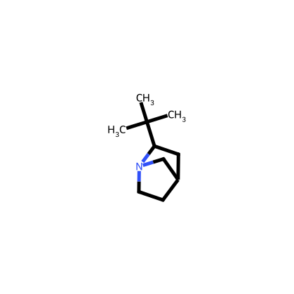 CC(C)(C)C1CC2CCN1C2